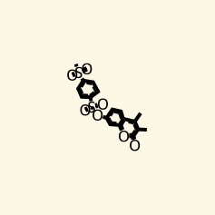 Cc1c(C)c2ccc(OS(=O)(=O)c3ccc(S(C)(=O)=O)cc3)cc2oc1=O